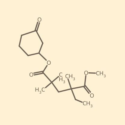 CCC(C)(CC(C)(C)C(=O)OC1CCCC(=O)C1)C(=O)OC